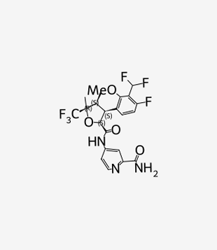 COc1c([C@H]2[C@@H](C(=O)Nc3ccnc(C(N)=O)c3)O[C@@](C)(C(F)(F)F)[C@H]2C)ccc(F)c1C(F)F